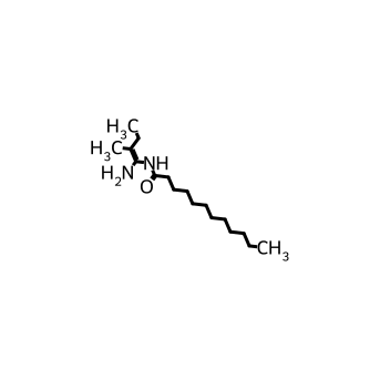 CCCCCCCCCCCC(=O)NC(N)=C(C)CC